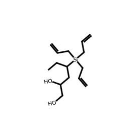 C=CC[Si](CC=C)(CC=C)C(CC)CC(O)CO